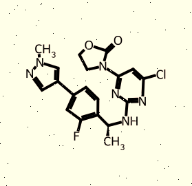 C[C@H](Nc1nc(Cl)cc(N2CCOC2=O)n1)c1ccc(-c2cnn(C)c2)cc1F